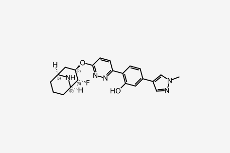 Cn1cc(-c2ccc(-c3ccc(O[C@@H]4C[C@@H]5CCC[C@@H](N5)[C@H]4F)nn3)c(O)c2)cn1